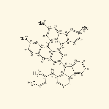 C=C(/C=C\C)Nc1cccc2c3ccccc3n(-c3cc4c5c(c3)-n3c6ccc(C(C)(C)C)cc6c6cc(C(C)(C)C)cc(c63)B5c3cc(C(C)(C)C)ccc3O4)c12